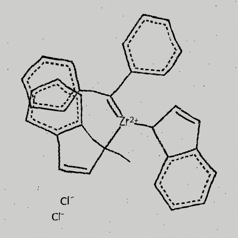 C[C]1([Zr+2](=[C](c2ccccc2)c2ccccc2)[CH]2C=Cc3ccccc32)C=Cc2ccccc21.[Cl-].[Cl-]